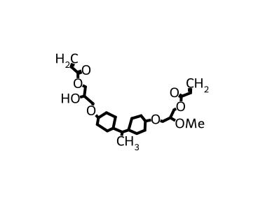 C=CC(=O)OCC(O)COC1CCC(C(C)C2CCC(OCC(COC(=O)C=C)OC)CC2)CC1